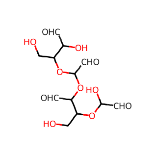 O=CC(O)OC(CO)C(C=O)OC(C=O)OC(CO)C(O)C=O